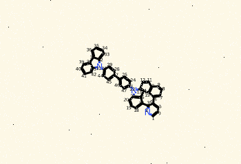 c1cnc2c(c1)-c1cccc3ccc4c(c13)c1c-2cccc1n4-c1ccc(-c2ccc(-n3c4ccccc4c4ccccc43)cc2)cc1